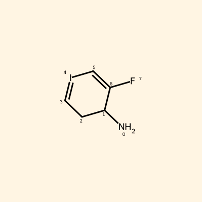 NC1CC=IC=C1F